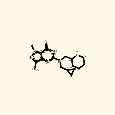 Cn1nc(C(C)(C)C)c2nc(N(CC3CC3)CC3CCCCO3)[nH]c(=O)c21